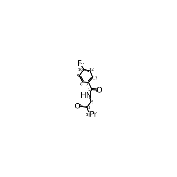 CC(C)C(=O)CNC(=O)c1ccc(F)cc1